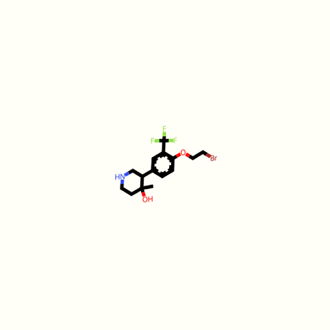 CC1(O)CCNCC1c1ccc(OCCBr)c(C(F)(F)F)c1